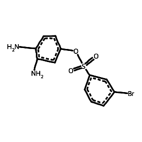 Nc1ccc(OS(=O)(=O)c2cccc(Br)c2)cc1N